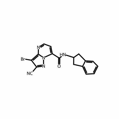 N#Cc1nn2c(C(=O)NC3Cc4ccccc4C3)ccnc2c1Br